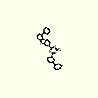 Clc1nc(-c2cccc(-c3ccccc3)c2)nc(-c2ccc3c(c2)oc2cccc(-c4ccccc4)c23)n1